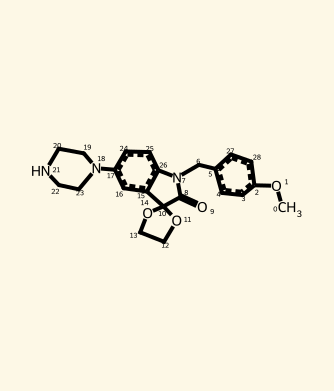 COc1ccc(CN2C(=O)C3(OCCO3)c3cc(N4CCNCC4)ccc32)cc1